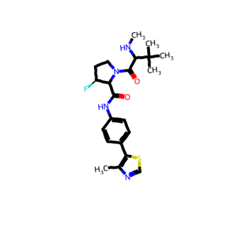 CNC(C(=O)N1CC[C@H](F)C1C(=O)Nc1ccc(-c2scnc2C)cc1)C(C)(C)C